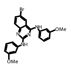 COc1cccc(Nc2nc(Nc3cccc(OC)c3)c3cc(Br)ccc3n2)c1